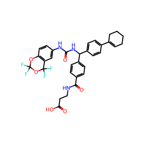 O=C(O)CCNC(=O)c1ccc(C(NC(=O)Nc2ccc3c(c2)C(F)(F)OC(F)(F)O3)c2ccc(C3=CCCCC3)cc2)cc1